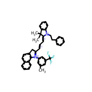 Cc1cc([N+]2=C(/C=C/C=C3/N(CCc4ccccc4)c4ccccc4C3(C)C)Cc3ccc4ccccc4c32)cc(C(F)(F)F)c1